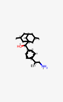 CCC(CN)c1ccc(C(O)C23CC(C)CC(CC(C)C2)C3)cc1